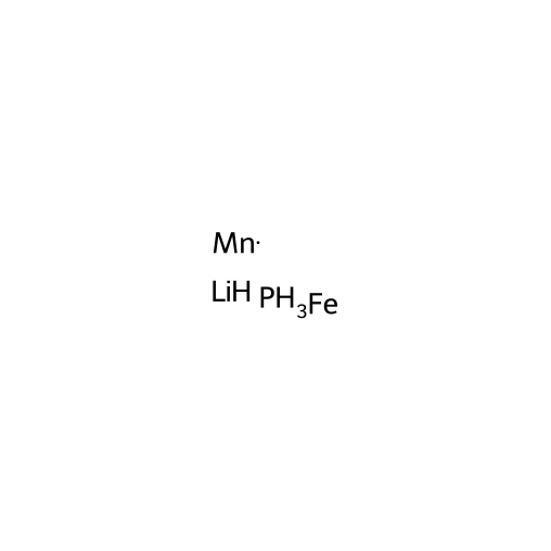 P.[Fe].[LiH].[Mn]